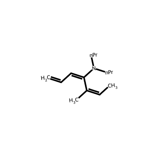 C=C/C=C(\C(C)=C/C)N(CCC)CCC